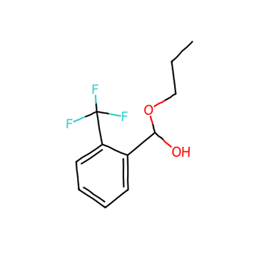 CCCOC(O)c1ccccc1C(F)(F)F